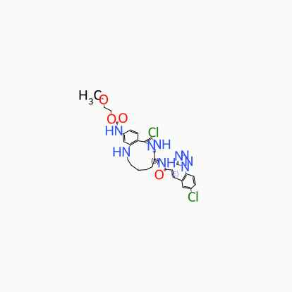 COCCOC(=O)Nc1ccc2c(c1)NCCCCC[C@H](NC(=O)/C=C/c1cc(Cl)ccc1-n1cnnn1)c1nc-2c(Cl)[nH]1